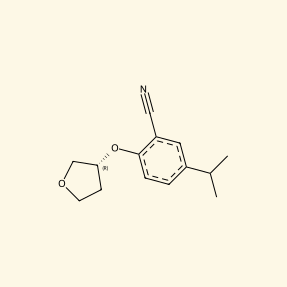 CC(C)c1ccc(O[C@@H]2CCOC2)c(C#N)c1